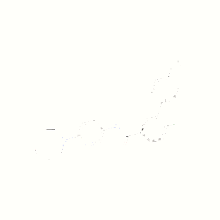 COc1ccc(-c2cc(C(=O)Nc3ccc(N4CCCOCC4)nc3)ccc2Cl)cc1